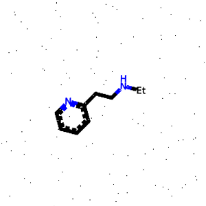 CCNCCc1ccccn1